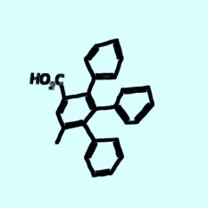 Cc1cc(C(=O)O)c(-c2ccccc2)c(-c2ccccc2)c1-c1ccccc1